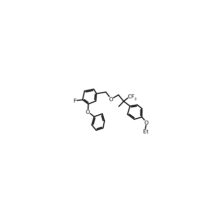 CCOc1ccc(C(C)(COCc2ccc(F)c(Oc3ccccc3)c2)C(F)(F)F)cc1